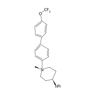 CCC[C@H]1CC[Si@](C)(c2ccc(-c3ccc(OC(F)(F)F)cc3)cc2)CC1